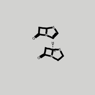 O=C1CC2SC=CN12.O=C1C[C@H]2SCCN12